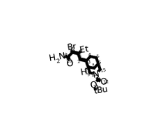 CCC(/C=C1\CCC2C[C@H]1CN(C(=O)OC(C)(C)C)C2)=C(\Br)C(N)=O